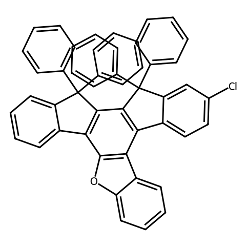 Clc1ccc2c(c1)C(c1ccccc1)(c1ccccc1)c1c3c(c4oc5ccccc5c4c1-2)-c1ccccc1C3(c1ccccc1)c1ccccc1